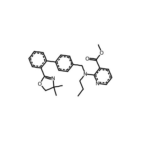 CCCN(Cc1ccc(-c2ccccc2C2=NC(C)(C)CO2)cc1)c1ncccc1C(=O)OC